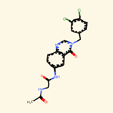 CC(=O)NCC(=O)Nc1ccc2ncn(Cc3ccc(Cl)c(Cl)c3)c(=O)c2c1